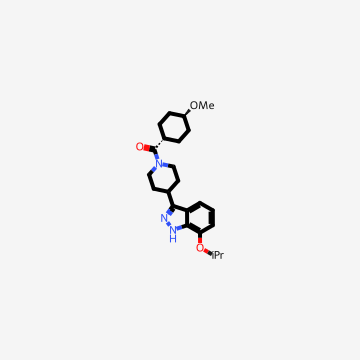 CO[C@H]1CC[C@H](C(=O)N2CCC(c3n[nH]c4c(OC(C)C)cccc34)CC2)CC1